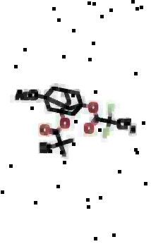 CCC(C)(C)C(=O)OC12CC3CC(OC(C)=O)(C1)CC(OC(=O)C(F)(F)C(F)(F)F)(C3)C2